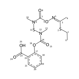 CCSC(C)=NOC(=O)N(C)SN(C)C(=O)Oc1ccccc1C(=O)O